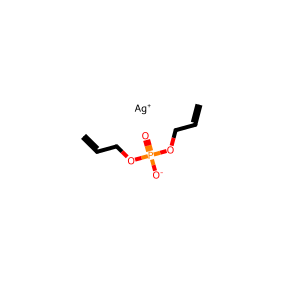 C=CCOP(=O)([O-])OCC=C.[Ag+]